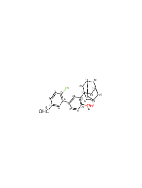 O=Cc1ccc(F)c(-c2ccc(O)c(C34CC5CC(CC(C5)C3)C4)c2)c1